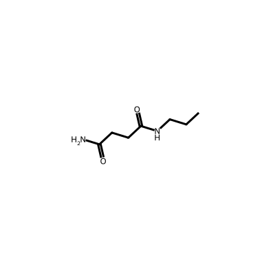 CCCNC(=O)CCC(N)=O